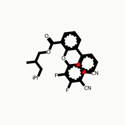 CC(C)CC(C)COC(=O)c1cccc(-c2ccccc2)c1Oc1c(F)c(F)c(C#N)c(C#N)c1F